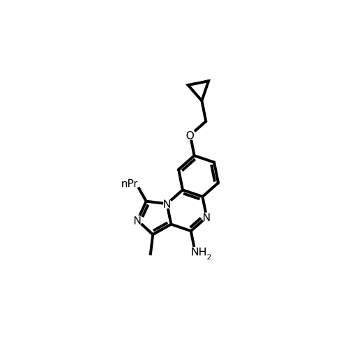 CCCc1nc(C)c2c(N)nc3ccc(OCC4CC4)cc3n12